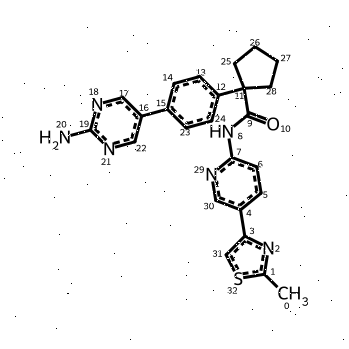 Cc1nc(-c2ccc(NC(=O)C3(c4ccc(-c5cnc(N)nc5)cc4)CCCC3)nc2)cs1